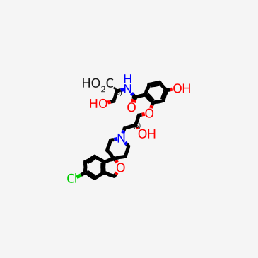 O=C(N[C@@H](CO)C(=O)O)c1ccc(O)cc1OC[C@@H](O)CN1CCC2(CC1)OCc1cc(Cl)ccc12